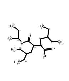 CCC(CC)CC(C(=O)O)C(CC(CC)CC)C(=O)OC(C)CC